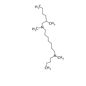 CCCCC(C)CN(C)CCCCCCCN(C)CCCC